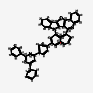 c1ccc(-c2cc(-c3ccc(-c4cccc(-n5c6ccccc6c6oc7c8ccccc8nc(-c8ccccc8)c7c65)c4)cc3)nc(-c3ccccc3)n2)cc1